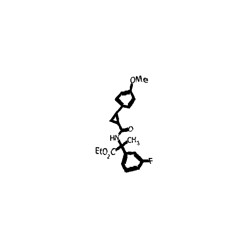 CCOC(=O)C(C)(NC(=O)C1CC1c1ccc(OC)cc1)c1cccc(F)c1